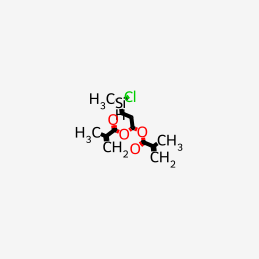 C=C(C)C(=O)OC(CC[SiH](C)Cl)OC(=O)C(=C)C